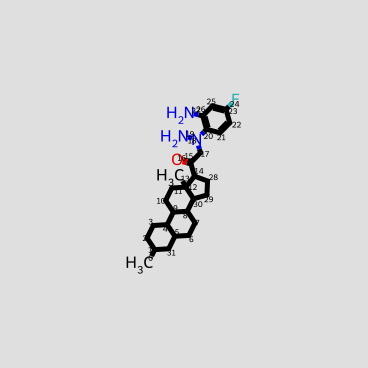 CC1CCC2C(CCC3C2CCC2(C)C(C(=O)CN(N)c4ccc(F)cc4N)CCC32)C1